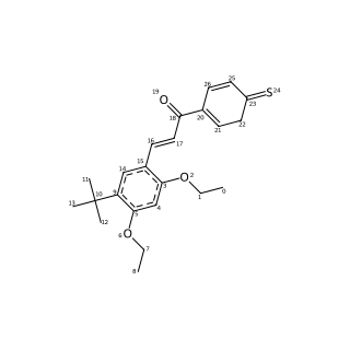 CCOc1cc(OCC)c(C(C)(C)C)cc1C=CC(=O)C1=CCC(=S)C=C1